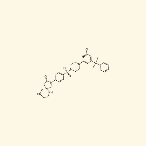 O=C1CC2(CNCCN2)CN1c1ccc(S(=O)(=O)N2CCN(c3cc(C(F)(F)c4ccccc4)cc(Cl)n3)CC2)cc1